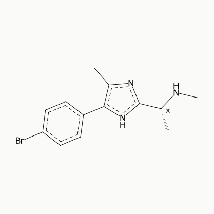 CN[C@H](C)c1nc(C)c(-c2ccc(Br)cc2)[nH]1